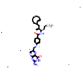 C=C(CC1/C=C/CCCCC1)[C@@H](CCC(=O)O)NC(=O)c1ccc(NCc2cnc3nc(N)[nH]c(=O)c3n2)cc1